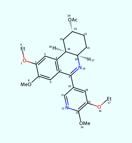 CCOc1cc2c(cc1OC)C(c1cnc(OC)c(OCC)c1)=N[C@@H]1CC[C@@H](OC(C)=O)C[C@H]21